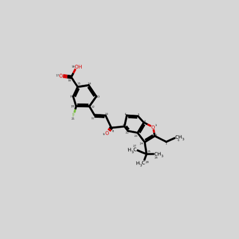 CCc1oc2ccc(C(=O)/C=C/c3ccc(C(=O)O)cc3F)cc2c1C(C)(C)C